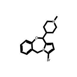 CN1CCC(C2Oc3ccccc3Cn3c(Br)ccc32)CC1